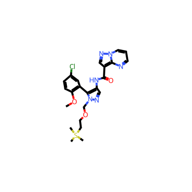 COc1ccc(Cl)cc1-c1c(NC(=O)c2cnn3cccnc23)cnn1COCCS(C)(C)C